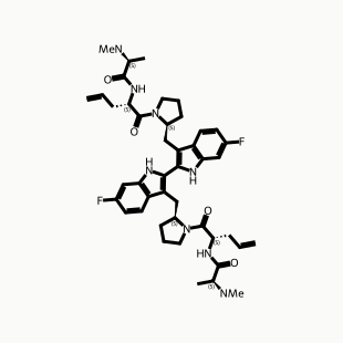 C=CC[C@H](NC(=O)[C@H](C)NC)C(=O)N1CCC[C@H]1Cc1c(-c2[nH]c3cc(F)ccc3c2C[C@@H]2CCCN2C(=O)[C@H](CC=C)NC(=O)[C@H](C)NC)[nH]c2cc(F)ccc12